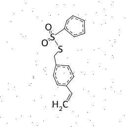 C=Cc1ccc(CSS(=O)(=O)c2ccccc2)cc1